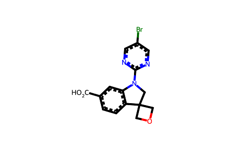 O=C(O)c1ccc2c(c1)N(c1ncc(Br)cn1)CC21COC1